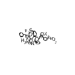 CC1=C(C(=O)OCc2ccccc2)C(c2cccc(C(F)(F)F)c2)C(C(=O)OCCN(C)c2cccc([N+](=O)[O-])c2)=NN1